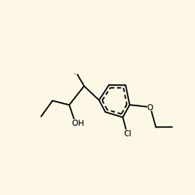 [CH2]C(c1ccc(OCC)c(Cl)c1)C(O)CC